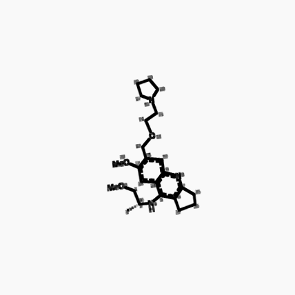 COC[C@@H](C)Nc1c2c(nc3cc(COCCN4CCCC4)c(OC)cc13)CCC2